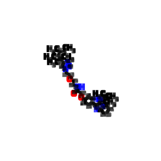 CCC(C)C(C)C(C)(C)c1cn(CCOCCNC(=O)COc2ccc(-c3nc4ccccn4c3NC(C)(C)C)cc2)nn1